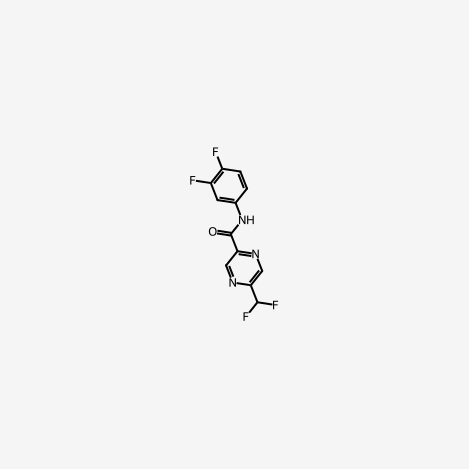 O=C(Nc1ccc(F)c(F)c1)c1cnc(C(F)F)cn1